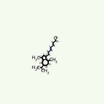 Cc1cc(/C=C/C=C/C=C/C=O)c2c(C)ccc(C(C)C)cc1-2